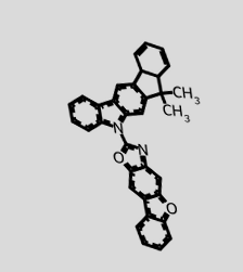 CC1(C)c2cc3c(cc2C2C=CC=CC21)c1ccccc1n3-c1nc2cc3oc4ccccc4c3cc2o1